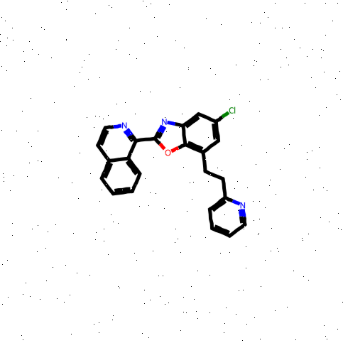 Clc1cc(CCc2ccccn2)c2oc(-c3nccc4ccccc34)nc2c1